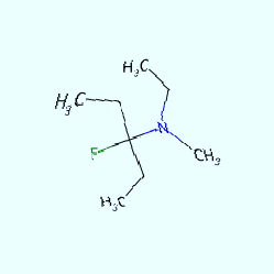 CCN(C)C(F)(CC)CC